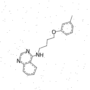 Cc1cccc(OCCCCNc2ncnc3ccccc23)c1